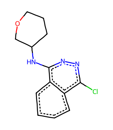 Clc1nnc(NC2CCCOC2)c2ccccc12